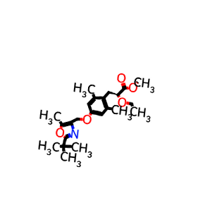 CCO[C@@H](Cc1c(C)cc(OCc2nc(C(C)(C)C)oc2C)cc1C)C(=O)OC